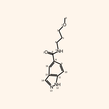 COCCCNC(=O)c1ccc2[nH]ncc2c1